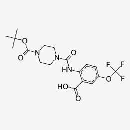 CC(C)(C)OC(=O)N1CCN(C(=O)Nc2ccc(OC(F)(F)F)cc2C(=O)O)CC1